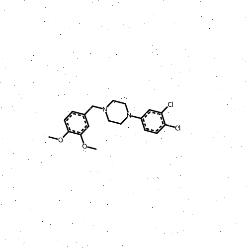 COc1ccc(CN2CCN(c3ccc(Cl)c(Cl)c3)CC2)cc1OC